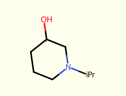 CC(C)N1CCC[C](O)C1